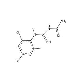 Cc1cc(Br)cc(Cl)c1N(C)C(=N)NC(=N)N